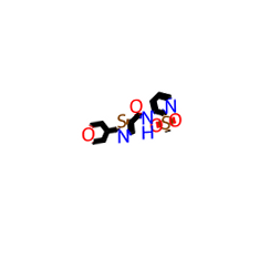 CS(=O)(=O)c1ncccc1NC(=O)c1cnc(C2CCOCC2)s1